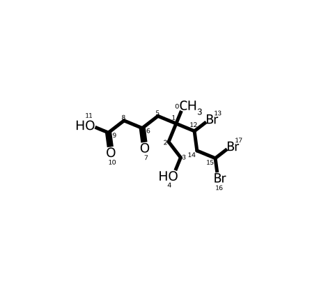 CC(CCO)(CC(=O)CC(=O)O)C(Br)CC(Br)Br